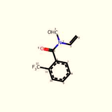 C=CN(C=O)C(=O)c1ccccc1C(F)(F)F